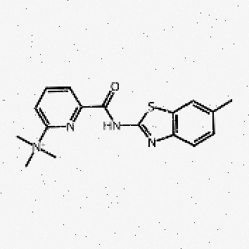 Cc1ccc2nc(NC(=O)c3cccc([N+](C)(C)C)n3)sc2c1